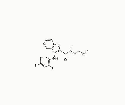 COCCNC(=O)c1oc2ccncc2c1Nc1ccc(I)cc1F